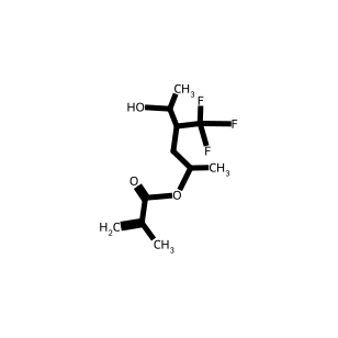 C=C(C)C(=O)OC(C)CC(C(C)O)C(F)(F)F